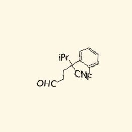 CC(C)C(C#N)(CCC=O)c1ccccc1F